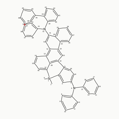 C[Si]1(C)c2cc(N(c3ccccc3)c3ccccc3)ccc2-c2cc3c4ccccc4c(N(c4ccccc4)c4ccccc4-c4ccccc4)cc3c3cccc1c23